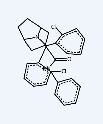 O=C(Nc1ccccc1)C1CC2CCC(C1)N2C(c1ccccc1Cl)c1ccccc1Cl